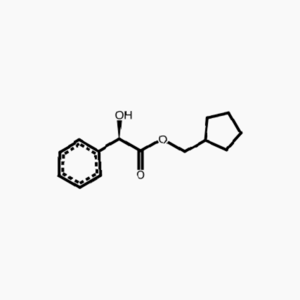 O=C(OCC1CCCC1)[C@H](O)c1ccccc1